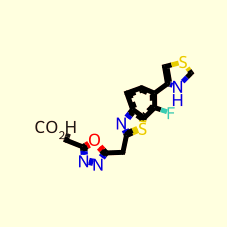 O=C(O)Cc1nnc(Cc2nc3ccc(C4=CSCN4)c(F)c3s2)o1